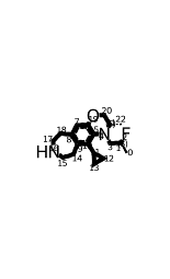 C[C@H](F)CN1c2c(cc3c(c2C2CC2)CCNCC3)OC[C@@H]1C